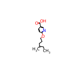 CC[C@H](C)CCCOc1ccc(C(=O)O)cn1